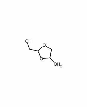 BC1COC(CO)O1